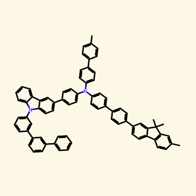 Cc1ccc(-c2ccc(N(c3ccc(-c4ccc(-c5ccc6c(c5)C(C)(C)c5cc(C)ccc5-6)cc4)cc3)c3ccc(-c4ccc5c(c4)c4ccccc4n5-c4cccc(-c5cccc(-c6ccccc6)c5)c4)cc3)cc2)cc1